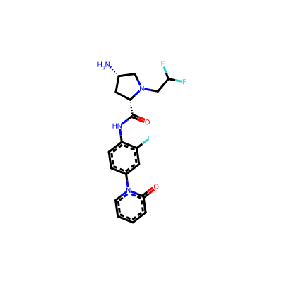 N[C@H]1C[C@@H](C(=O)Nc2ccc(-n3ccccc3=O)cc2F)N(CC(F)F)C1